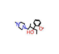 CCC(O)(c1ccccc1OC)C(C)CN1CCN(C)CC1